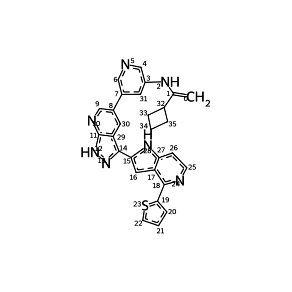 C=C(Nc1cncc(-c2cnc3[nH]nc(-c4cc5c(-c6cccs6)nccc5[nH]4)c3c2)c1)C1CCC1